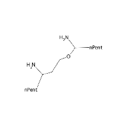 [CH2]CCCCC(N)CCOC(N)CCCC[CH2]